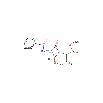 C=C1CS[C@H]2[C@H](NC(=O)c3ccccc3)C(=O)N2C1C(=O)OC(C)(C)C